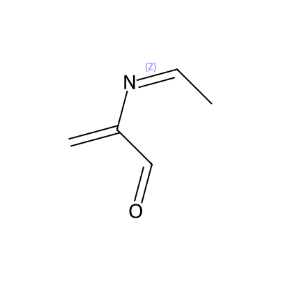 C=C(C=O)/N=C\C